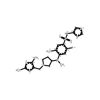 Cc1nc(CN2CCC(N(C)c3cc(F)c(S(=O)(=O)Nc4cscn4)cc3C)C2)c(C)o1